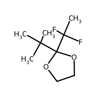 CC(C)(C)C1(C(C)(F)F)OCCO1